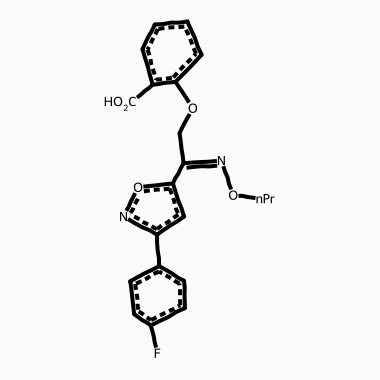 CCCON=C(COc1ccccc1C(=O)O)c1cc(-c2ccc(F)cc2)no1